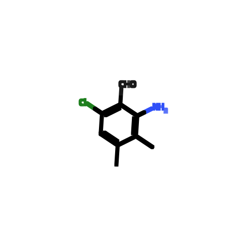 Cc1cc(Cl)c(C=O)c(N)c1C